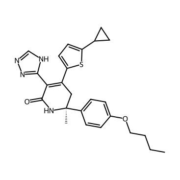 CCCCOc1ccc([C@]2(C)CC(c3ccc(C4CC4)s3)=C(c3nnc[nH]3)C(=O)N2)cc1